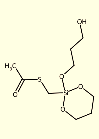 CC(=O)SC[Si]1(OCCCO)OCCCO1